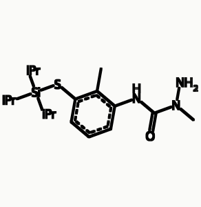 Cc1c(NC(=O)N(C)N)cccc1S[Si](C(C)C)(C(C)C)C(C)C